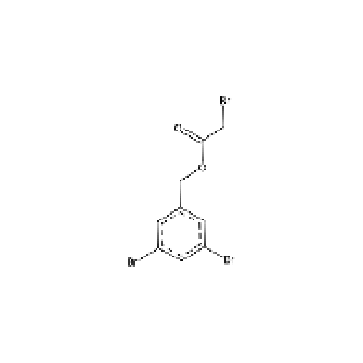 O=C(CBr)OCc1cc(Br)cc(Br)c1